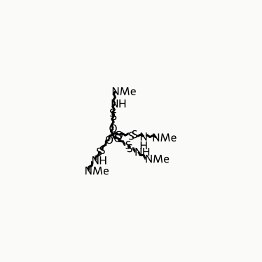 CNCCCNCCSSCCCOCC(COCCCSSCCNCCCNC)(COCCCSSCCNCCCNC)COCCCSSCCNCCCNC